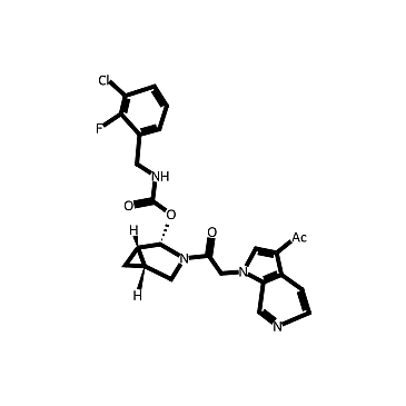 CC(=O)c1cn(CC(=O)N2C[C@@H]3C[C@@H]3[C@@H]2OC(=O)NCc2cccc(Cl)c2F)c2cnccc12